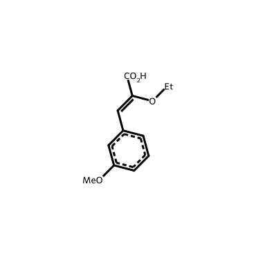 CCOC(=Cc1cccc(OC)c1)C(=O)O